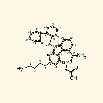 CCCCCc1cc(OCC(=O)O)c2c3c(C(N)=O)cccc3n(Cc3ccccc3-c3ccccc3)c2c1